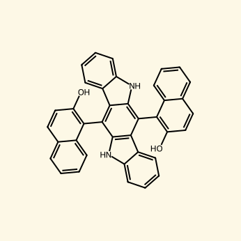 Oc1ccc2ccccc2c1-c1c2[nH]c3ccccc3c2c(-c2c(O)ccc3ccccc23)c2[nH]c3ccccc3c12